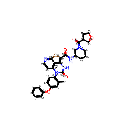 Cc1cc(Oc2ccccc2)ccc1N1C(=O)Nc2c(C(=O)NC3CCCN(C(=O)C4CCOC4)C3)sc3nccc1c23